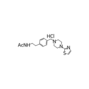 CC(=O)NCCc1ccc(CN2CCN(c3nccs3)CC2)cc1.Cl